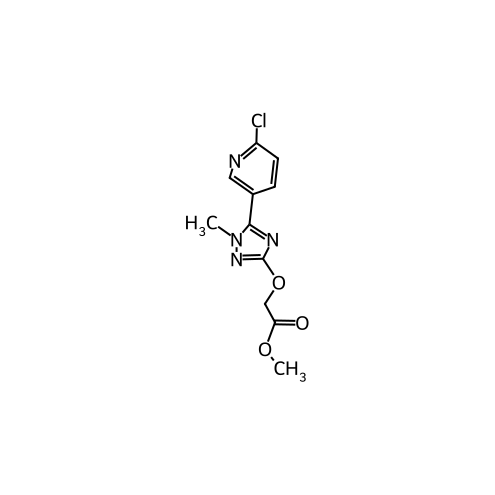 COC(=O)COc1nc(-c2ccc(Cl)nc2)n(C)n1